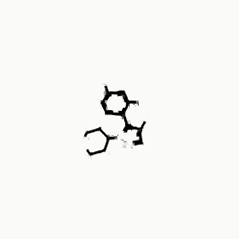 CCc1ccc(-c2c(C(C)(C)C)cnn2C2CCOCC2)c(F)c1